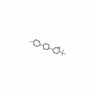 Cc1ccc(-c2ccc(-c3ccc(C(C)(C)C)nc3)cc2)cc1